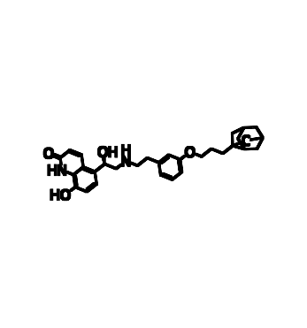 O=c1ccc2c([C@@H](O)CNCCc3cccc(OCCCC45CC6CC(CC4C6)C5)c3)ccc(O)c2[nH]1